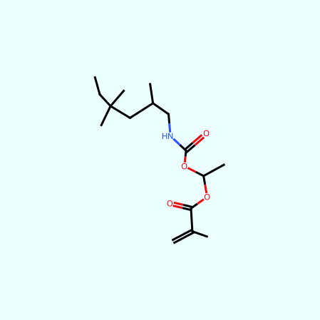 C=C(C)C(=O)OC(C)OC(=O)NCC(C)CC(C)(C)CC